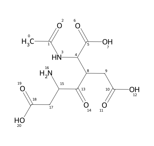 CC(=O)NC(C(=O)O)C(CC(=O)O)C(=O)C(N)CC(=O)O